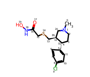 CN1CC[C@H](c2ccc(Cl)cc2)[C@@H](CSCC(=O)NO)C1